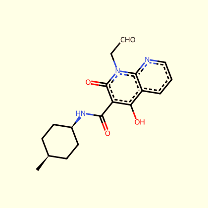 C[C@H]1CC[C@@H](NC(=O)c2c(O)c3cccnc3n(CC=O)c2=O)CC1